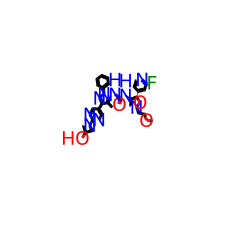 COCCN1C[C@@H](NC(=O)Nc2c(C)c(-c3cnc(N4CC(O)C4)nc3)nn2-c2ccccc2)[C@H](c2ccnc(F)c2)O1